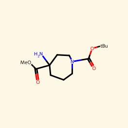 COC(=O)C1(N)CCCN(C(=O)OC(C)(C)C)CC1